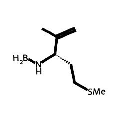 BN[C@@H](CCSC)C(=C)C